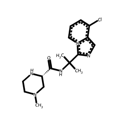 CN1CCN[C@H](C(=O)NC(C)(C)c2ncc3c(Cl)cccn23)C1